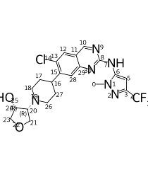 Cn1nc(C(F)(F)F)cc1Nc1ncc2cc(Cl)c(C3CCN([C@@H]4COC[C@@H]4O)CC3)cc2n1